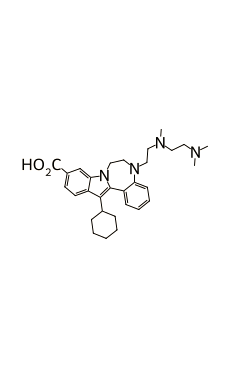 CN(C)CCN(C)CCN1CCn2c(c(C3CCCCC3)c3ccc(C(=O)O)cc32)-c2ccccc21